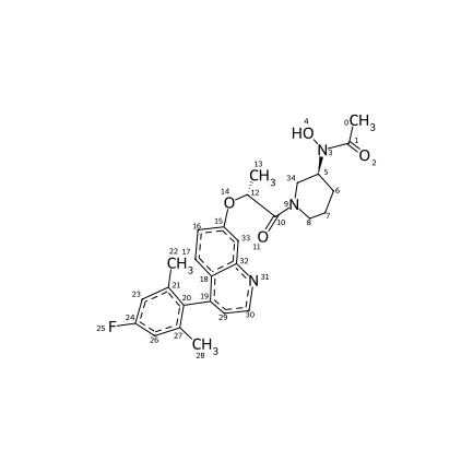 CC(=O)N(O)[C@H]1CCCN(C(=O)[C@@H](C)Oc2ccc3c(-c4c(C)cc(F)cc4C)ccnc3c2)C1